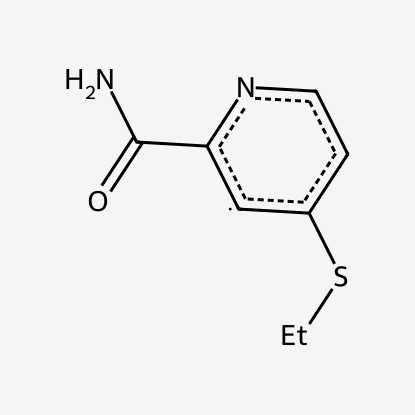 CCSc1[c]c(C(N)=O)ncc1